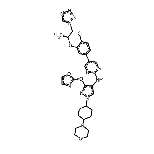 CC(Cn1cnnn1)Oc1cc(-c2cnc(Nc3cn(C4CCC(N5CCOCC5)CC4)nc3Oc3ncco3)nc2)ccc1Cl